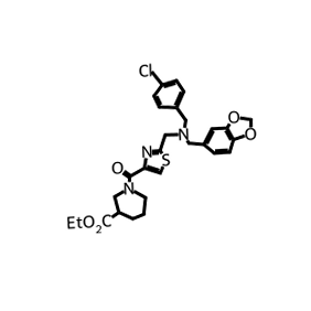 CCOC(=O)C1CCCN(C(=O)c2csc(CN(Cc3ccc(Cl)cc3)Cc3ccc4c(c3)OCO4)n2)C1